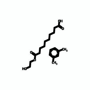 Cc1cccc(C)c1.O=C(O)CCCCCCCCC(=O)OCCO